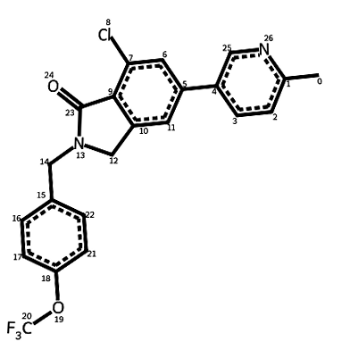 Cc1ccc(-c2cc(Cl)c3c(c2)CN(Cc2ccc(OC(F)(F)F)cc2)C3=O)cn1